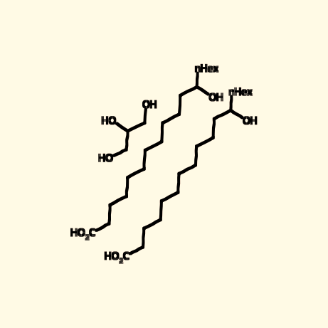 CCCCCCC(O)CCCCCCCCCCC(=O)O.CCCCCCC(O)CCCCCCCCCCC(=O)O.OCC(O)CO